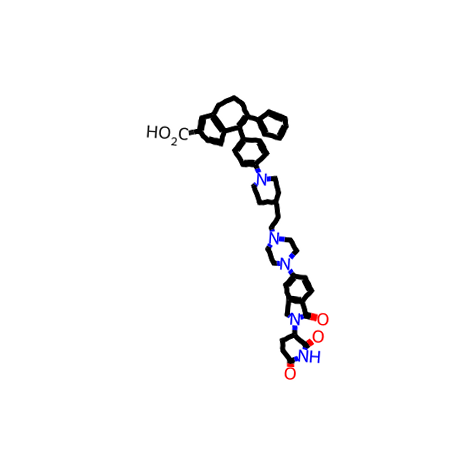 O=C1CCC(N2Cc3cc(N4CCN(CCC5CCN(c6ccc(C7=C(c8ccccc8)CCCc8cc(C(=O)O)ccc87)cc6)CC5)CC4)ccc3C2=O)C(=O)N1